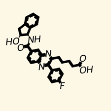 O=C(O)CCCCc1nc2cc(C(=O)N[C@H]3c4ccccc4C[C@H]3O)ccc2nc1-c1ccc(F)cc1